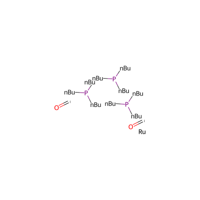 CCCCP(CCCC)CCCC.CCCCP(CCCC)CCCC.CCCCP(CCCC)CCCC.[C]=O.[C]=O.[Ru]